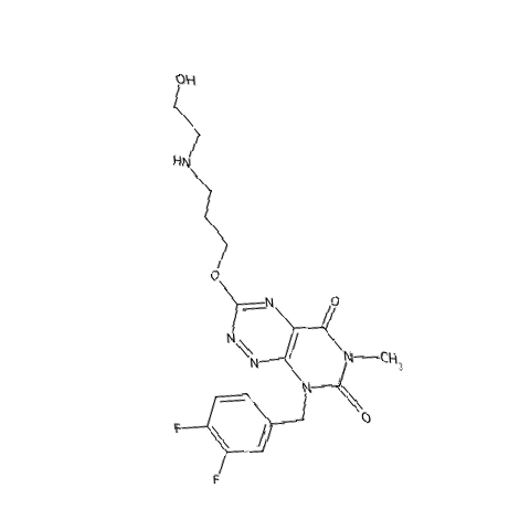 Cn1c(=O)c2nc(OCCCNCCO)nnc2n(Cc2ccc(F)c(F)c2)c1=O